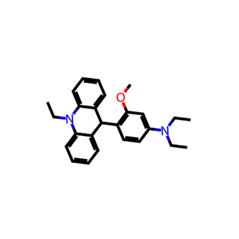 CCN(CC)c1ccc(C2c3ccccc3N(CC)c3ccccc32)c(OC)c1